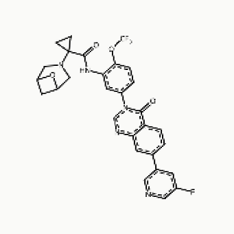 O=C(Nc1cc(-n2cnc3cc(-c4cncc(F)c4)ccc3c2=O)ccc1OC(F)(F)F)C1(N2CC3CC(C2)O3)CC1